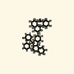 c1ccc(C2(c3ccccc3)c3cc(-c4cc5c6c(cccc6c4)Sc4ccccc4-5)ccc3-c3c2ccc2ccccc32)cc1